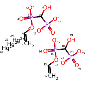 C=COP(=O)([O-])C(O)P(=O)([O-])[O-].C=COP(=O)([O-])C(O)P(=O)([O-])[O-].[Hg+2].[Hg+2].[Hg+2]